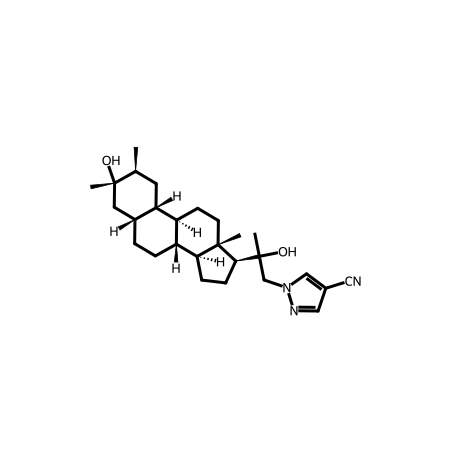 C[C@H]1C[C@H]2[C@H](CC[C@@H]3[C@@H]2CC[C@]2(C)[C@@H](C(C)(O)Cn4cc(C#N)cn4)CC[C@@H]32)C[C@]1(C)O